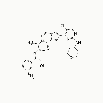 Cc1cccc([C@@H](CO)NC(=O)[C@@H](C)n2ccn3cc(-c4nc(NC5CCOCC5)ncc4Cl)cc3c2=O)c1